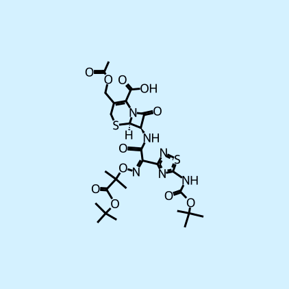 CC(=O)OCC1=C(C(=O)O)N2C(=O)[C@@H](NC(=O)/C(=N\OC(C)(C)C(=O)OC(C)(C)C)c3nsc(NC(=O)OC(C)(C)C)n3)[C@H]2SC1